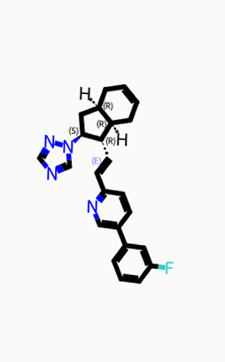 Fc1cccc(-c2ccc(/C=C/[C@H]3[C@@H]4CC=CC[C@@H]4C[C@@H]3n3cncn3)nc2)c1